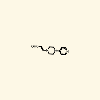 O=CC=CN1CCN(c2ccncc2)CC1